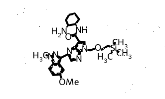 COc1ccc2c(c1)c(-c1cnc3c(n1)c(C(=O)N[C@@H]1CCCC[C@@H]1N)cn3COCC[Si](C)(C)C)nn2C